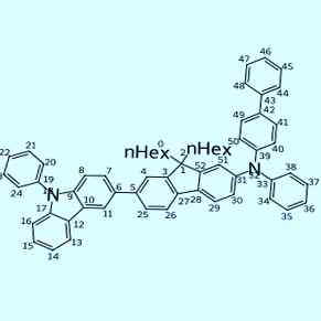 CCCCCCC1(CCCCCC)c2cc(-c3ccc4c(c3)c3ccccc3n4-c3ccccc3)ccc2-c2ccc(N(c3ccccc3)c3ccc(-c4ccccc4)cc3)cc21